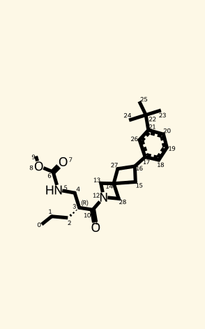 CCC[C@H](CNC(=O)OC)C(=O)N1CC2(CC(c3cccc(C(C)(C)C)c3)C2)C1